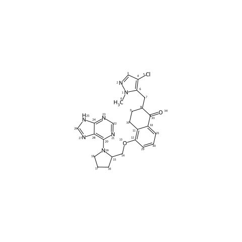 Cn1ncc(Cl)c1CC1CCc2c(OCC3CCCN3c3ncnc4[nH]cnc34)cccc2C1=O